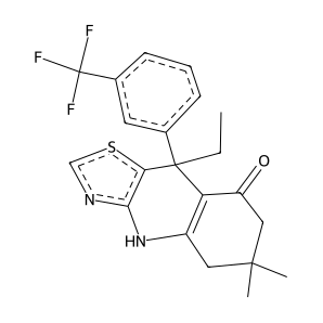 CCC1(c2cccc(C(F)(F)F)c2)C2=C(CC(C)(C)CC2=O)Nc2ncsc21